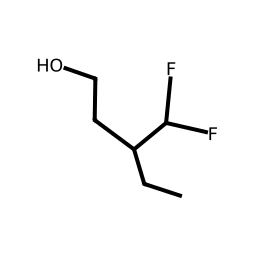 CCC(CCO)C(F)F